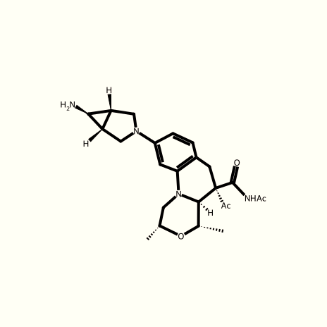 CC(=O)NC(=O)[C@]1(C(C)=O)Cc2ccc(N3C[C@@H]4[C@@H](N)[C@@H]4C3)cc2N2C[C@@H](C)O[C@@H](C)[C@@H]21